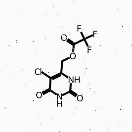 O=C(OCc1[nH]c(=O)[nH]c(=O)c1Cl)C(F)(F)F